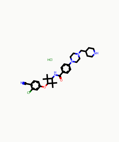 CC1(C)C(NC(=O)c2ccc(N3CCN(CC4CCNCC4)CC3)cc2)C(C)(C)C1Oc1ccc(C#N)c(Cl)c1.Cl